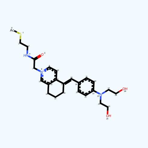 CC(=O)SCCNC(=O)C[n+]1ccc2c(c1)CCC/C2=C\c1ccc(N(CCO)CCO)cc1